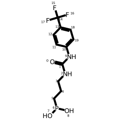 O=C(NCCCP(O)O)Nc1ccc(C(F)(F)F)cc1